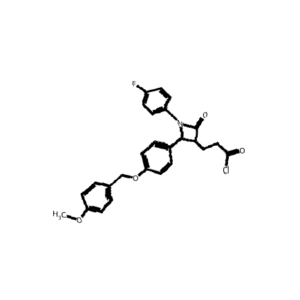 COc1ccc(COc2ccc(C3C(CCC(=O)Cl)C(=O)N3c3ccc(F)cc3)cc2)cc1